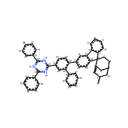 CC1C=C2CC(CCC23c2ccccc2-c2cc(-c4ccc(-c5nc(-c6ccccc6)nc(-c6ccccc6)n5)cc4-c4ccccc4)ccc23)C1